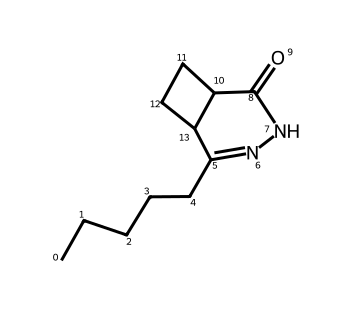 CCCCCC1=NNC(=O)C2CCC12